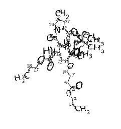 C=CCOC(=O)CCCOc1cc(NC(=O)OCC=C)c(C(=O)N2CC(=C)C[C@H]2CO[Si](C)(C)C(C)(C)C)cc1OC